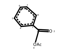 CC(=O)OC(=O)c1ccccc1